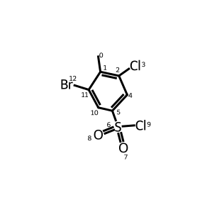 Cc1c(Cl)cc(S(=O)(=O)Cl)cc1Br